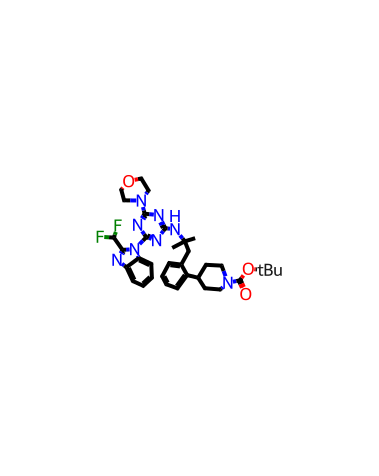 CC(C)(Cc1ccccc1C1CCN(C(=O)OC(C)(C)C)CC1)Nc1nc(N2CCOCC2)nc(-n2c(C(F)F)nc3ccccc32)n1